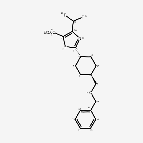 CCOC(=O)c1sc([C@H]2CC[C@H](COCc3ccccc3)CC2)nc1C(F)F